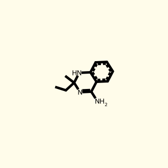 CCC1(C)N=C(N)c2ccccc2N1